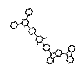 Cc1cc(-c2ccc(-c3cc(-c4ccccc4)nc(-c4ccccc4)n3)cc2)cc(C)c1-c1ccc(-n2c3ccccc3c3cc(-n4c5ccccc5c5ccccc54)ccc32)cc1